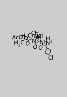 CC(=O)OC(C)OC(=O)[C@@H]1N2C(=O)[C@@H](NC(=O)C(N)c3ccc(Cl)cc3)[C@H]2SC1(C)C.Cl